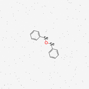 c1ccc([Se]O[Se]c2ccccc2)cc1